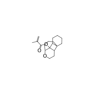 C=C(C)C(=O)OC12C3CCCC4(CCCCC41)C2CCO3